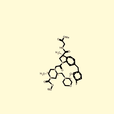 COC(=O)CNC(=O)[C@]1(C)CN(C(=O)CN2C[C@@H](C)N(C(=O)OC(C)(C)C)C[C@@H]2CN2CCOC[C@H]2C)c2cc(Cc3ccc(F)cc3)ccc21